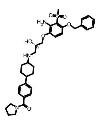 CS(=O)(=O)c1c(OCc2ccccc2)ccc(OC[C@@H](O)CNC2CCC(c3ccc(C(=O)N4CCCC4)cc3)CC2)c1N